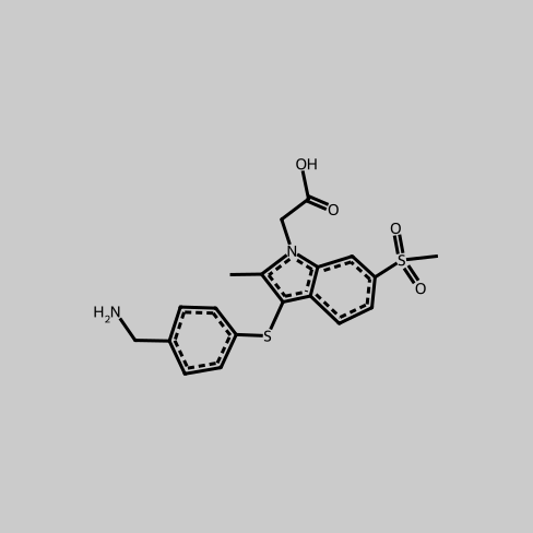 Cc1c(Sc2ccc(CN)cc2)c2ccc(S(C)(=O)=O)cc2n1CC(=O)O